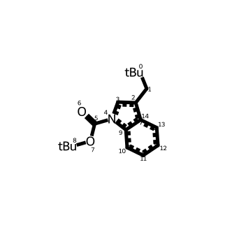 CC(C)(C)Cc1cn(C(=O)OC(C)(C)C)c2ccccc12